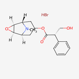 Br.CN1[C@H]2CC(OC(=O)[C@H](CO)c3ccccc3)C[C@H]1[C@H]1O[C@H]12